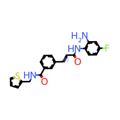 Nc1cc(F)ccc1NC(=O)/C=C/c1cccc(C(=O)NCc2cccs2)c1